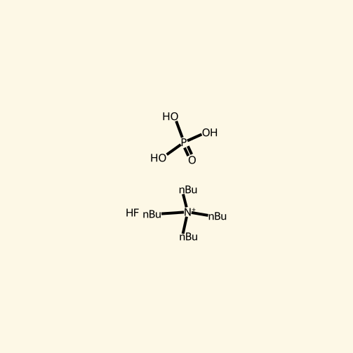 CCCC[N+](CCCC)(CCCC)CCCC.F.O=P(O)(O)O